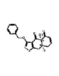 O=C1C=CC[C@H]2Cc3onc(OCc4ccccc4)c3C(=O)[C@@]12O